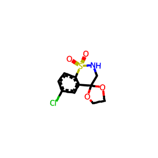 O=S1(=O)NCC2(OCCO2)c2cc(Cl)ccc21